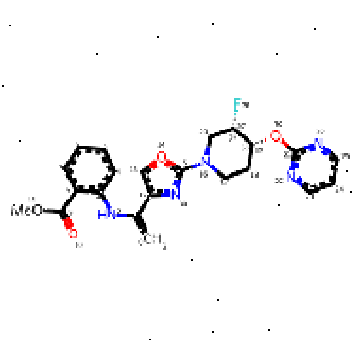 C=C(Nc1ccccc1C(=O)OC)c1coc(N2CC[C@@H](Oc3ncccn3)[C@@H](F)C2)n1